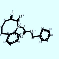 O=C(CN1C(=O)C(=O)CCCc2ccccc21)OCc1ccccc1